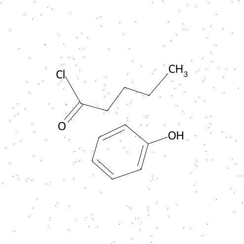 CCCCC(=O)Cl.Oc1ccccc1